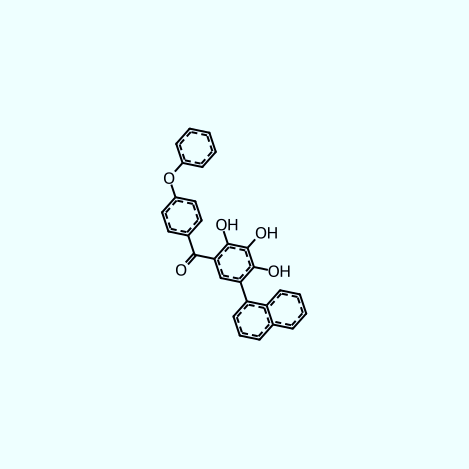 O=C(c1ccc(Oc2ccccc2)cc1)c1cc(-c2cccc3ccccc23)c(O)c(O)c1O